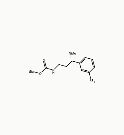 CN[C@@H](CCNC(=O)OC(C)(C)C)c1cccc(C(F)(F)F)c1